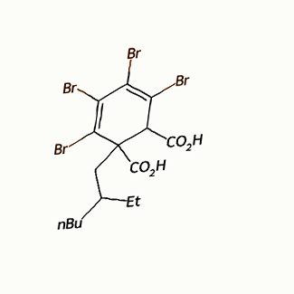 CCCCC(CC)CC1(C(=O)O)C(Br)=C(Br)C(Br)=C(Br)C1C(=O)O